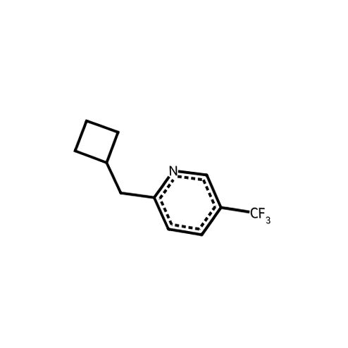 FC(F)(F)c1ccc(CC2CCC2)nc1